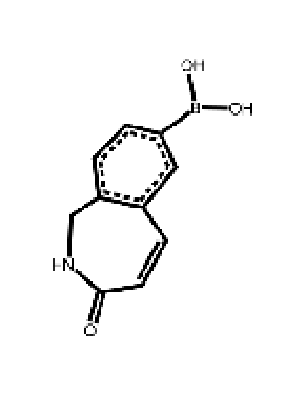 O=C1C=Cc2cc(B(O)O)ccc2CN1